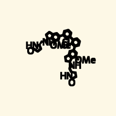 COc1cc(-c2cccc(-c3cccc(-c4cc5c(c(OC)c4)C(NC[C@H]4CCC(=O)N4)CC5)c3Cl)c2Cl)cc2c1C(NCC1CCC(=O)N1)CC2